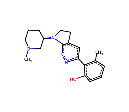 Cc1cccc(O)c1-c1cc2c(nn1)N([C@@H]1CCCN(C)C1)CC2